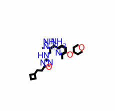 Cc1nc(/C(N)=C(\CNc2noc(CCC3CCC3)n2)N(C)N)ccc1OC1CCOCC1